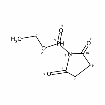 CCO[PH](=O)N1C(=O)CCC1=O